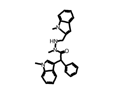 CN(NCc1cc2ccccc2n1C)C(=O)C(c1ccccc1)c1cn(C)c2ccccc12